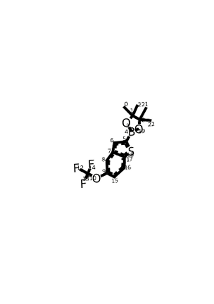 CC1(C)OB(c2cc3cc(OC(F)(F)F)ccc3s2)OC1(C)C